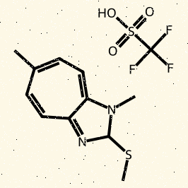 CSC1N=C2C=CC(C)=CC=C2N1C.O=S(=O)(O)C(F)(F)F